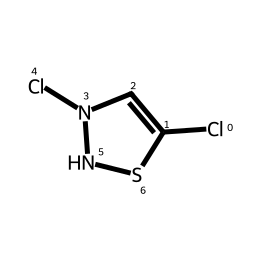 ClC1=CN(Cl)NS1